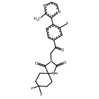 Cc1nccnc1-c1ccc(C(=O)CN2C(=O)NC3(CCC(F)(F)CC3)C2=O)cc1F